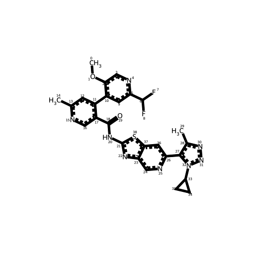 COc1cnc(C(F)F)cc1-c1cc(C)ncc1C(=O)Nc1nc2cnc(-c3c(C)nnn3C3CC3)cc2s1